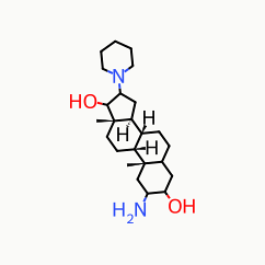 C[C@]12CC(N)C(O)CC1CC[C@@H]1[C@H]2CC[C@]2(C)C(O)C(N3CCCCC3)C[C@@H]12